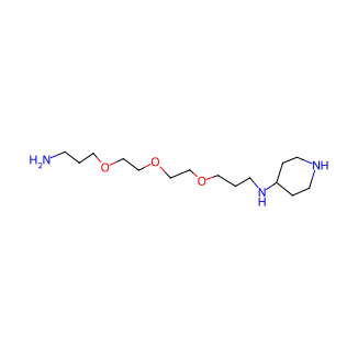 NCCCOCCOCCOCCCNC1CCNCC1